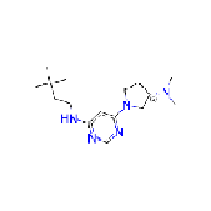 CN(C)[C@H]1CCN(c2cc(NCCC(C)(C)C)ncn2)C1